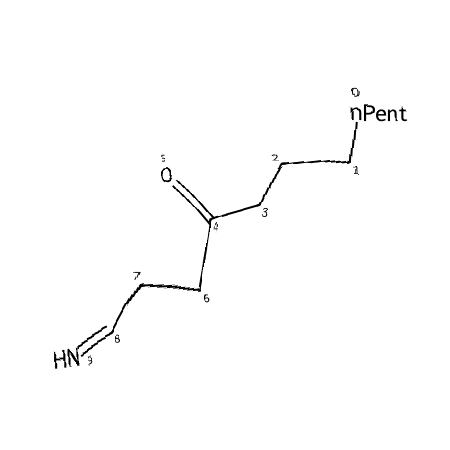 CCCCCCCCC(=O)CCC=N